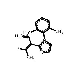 C=C/C(=C(/C)F)c1nccn1-c1c(C)cccc1C